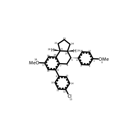 COc1ccc([C@@H]2Cc3c(-c4ccc(Cl)cc4)cc(OC)cc3[C@@H]3CCC[C@H]23)cc1